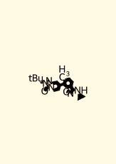 Cc1ccc2c(NC3CC3)noc2c1-c1ccn2c(=O)n(CC(C)(C)C)nc2c1